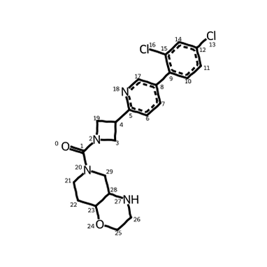 O=C(N1CC(c2ccc(-c3ccc(Cl)cc3Cl)cn2)C1)N1CCC2OCCNC2C1